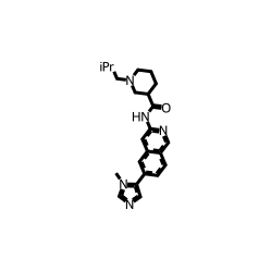 CC(C)CN1CCCC(C(=O)Nc2cc3cc(-c4cncn4C)ccc3cn2)C1